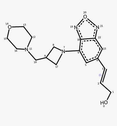 OC/C=C/c1cc(N2CC(CN3CCOCC3)C2)c2nonc2c1